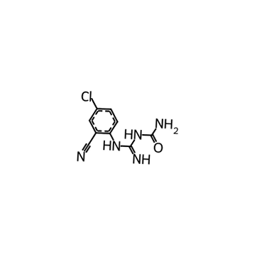 N#Cc1cc(Cl)ccc1NC(=N)NC(N)=O